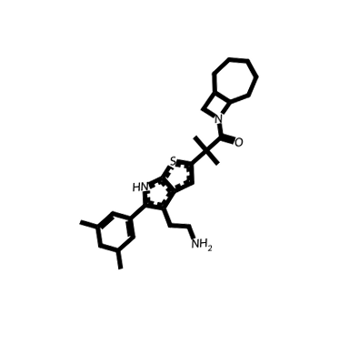 CC1=CC(c2[nH]c3sc(C(C)(C)C(=O)N4CC5CCCCCC54)cc3c2CCN)=CC(C)C1